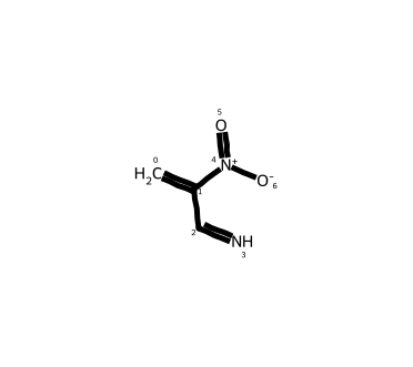 C=C(C=N)[N+](=O)[O-]